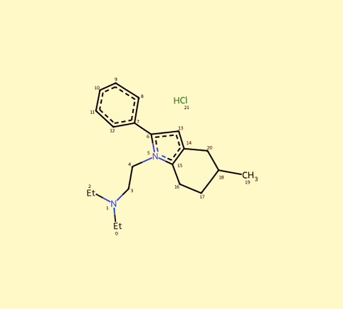 CCN(CC)CCn1c(-c2ccccc2)cc2c1CCC(C)C2.Cl